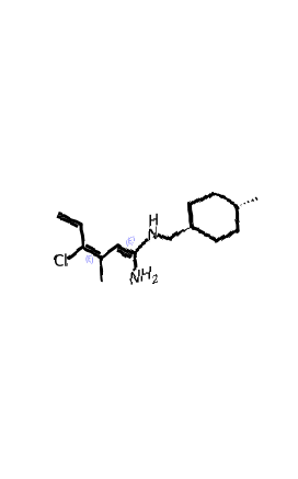 C=C/C(Cl)=C(C)\C=C(/N)NC[C@H]1CC[C@H](C)CC1